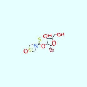 [O-][S+]1CCN(C(=S)OC2C(O)[C@@H](CO)O[C@H]2Br)CC1